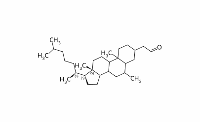 CC(C)CCC[C@H](C)[C@@H]1CCC2C3CC(C)C4CC(CC=O)CCC4(C)C3CC[C@]21C